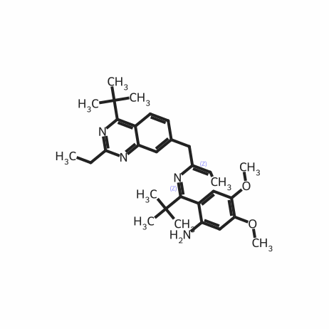 C/C=C(Cc1ccc2c(C(C)(C)C)nc(CC)nc2c1)\N=C(/c1cc(OC)c(OC)cc1N)C(C)(C)C